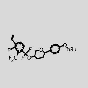 C=Cc1ccc(C(F)(F)OC2CCC(c3ccc(OCCCC)cc3)OC2)c(C(F)(F)F)c1F